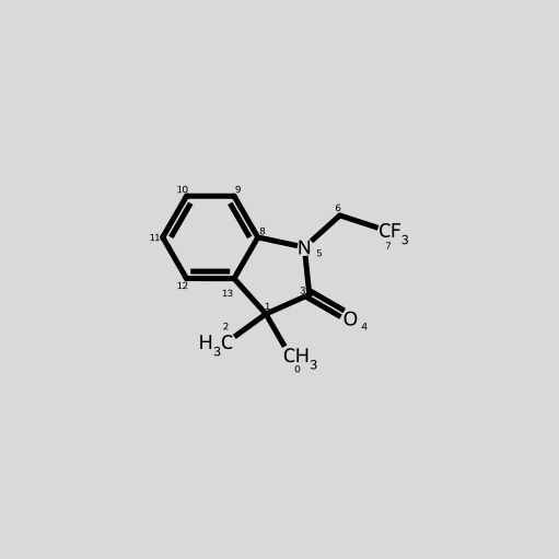 CC1(C)C(=O)N(CC(F)(F)F)c2ccccc21